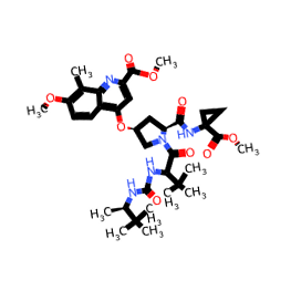 COC(=O)c1cc(O[C@@H]2C[C@@H](C(=O)NC3(C(=O)OC)CC3)N(C(=O)C(NC(=O)N[C@H](C)C(C)(C)C)C(C)(C)C)C2)c2ccc(OC)c(C)c2n1